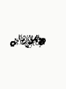 COc1nc(N2CCOc3c2ncc(-c2cnn(CC45CC6CC(CC(C6)C4)C5)c2C)c3C(=O)O)cnc1Nc1nc2ccccc2s1